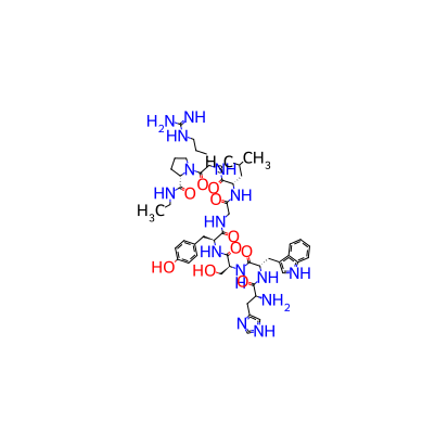 CCNC(=O)[C@@H]1CCCN1C(=O)[C@H](CCCNC(=N)N)NC(=O)[C@H](CC(C)C)NC(=O)CNC(=O)[C@H](Cc1ccc(O)cc1)NC(=O)[C@H](CO)NC(=O)[C@H](Cc1c[nH]c2ccccc12)NC(=O)[C@@H](N)Cc1c[nH]cn1